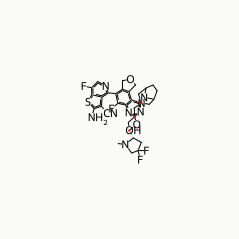 CN1CC(F)(F)C[C@H]1COc1nc(N2C3CCC2CN(CCCO)C3)c2c3c(c(-c4ncc(F)c5sc(N)c(C#N)c45)c(F)c2n1)COC3